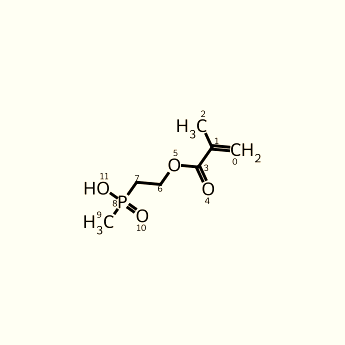 C=C(C)C(=O)OCCP(C)(=O)O